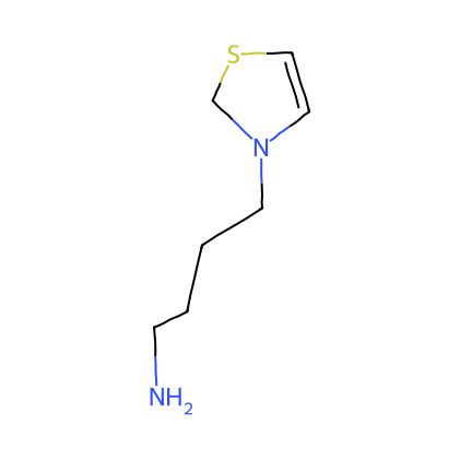 NCCCCN1C=CSC1